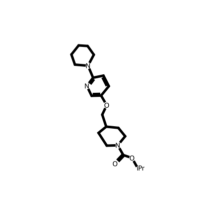 CC(C)OC(=O)N1CCC(COc2ccc(N3CCCCC3)nc2)CC1